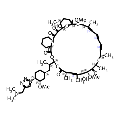 CO[C@H]1C[C@@H]2CC[C@@H](C)[C@@](O)(O2)C(=O)C(=O)N2CCCC[C@H]2C(=O)O[C@H]([C@H](C)C[C@@H]2CC[C@H](n3cc(CN(C)C)nn3)[C@H](OC)C2)CC(=O)[C@H](C)/C=C(\C)[C@@H](O)[C@@H](OC)C(=O)[C@H](C)C[C@H](C)/C=C/C=C/C=C/1C